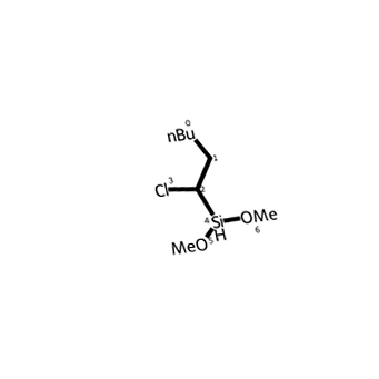 CCCCCC(Cl)[SiH](OC)OC